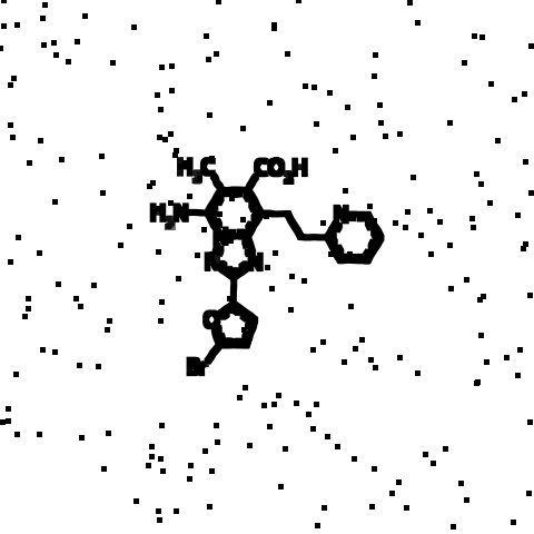 Cc1c(C(=O)O)c(CCc2ccccn2)c2nc(-c3ccc(Br)o3)nn2c1N